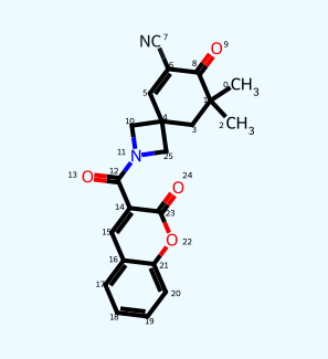 CC1(C)CC2(C=C(C#N)C1=O)CN(C(=O)c1cc3ccccc3oc1=O)C2